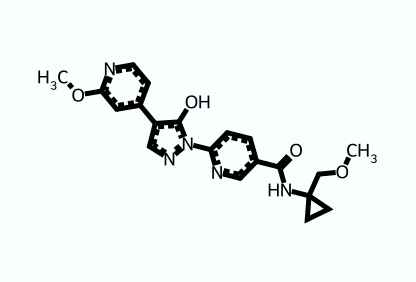 COCC1(NC(=O)c2ccc(-n3ncc(-c4ccnc(OC)c4)c3O)nc2)CC1